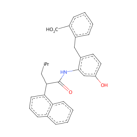 CC(C)CC(C(=O)Nc1cc(O)ccc1Cc1ccccc1C(=O)O)c1cccc2ccccc12